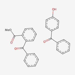 COC(=O)c1ccccc1C(=O)c1ccccc1.O=C(c1ccccc1)c1ccc(O)cc1